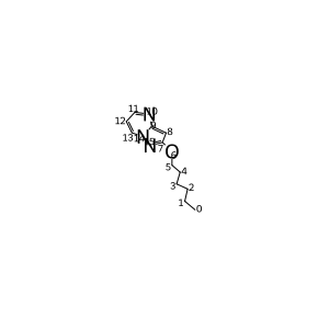 CCCCCCOc1cc2ncccn2n1